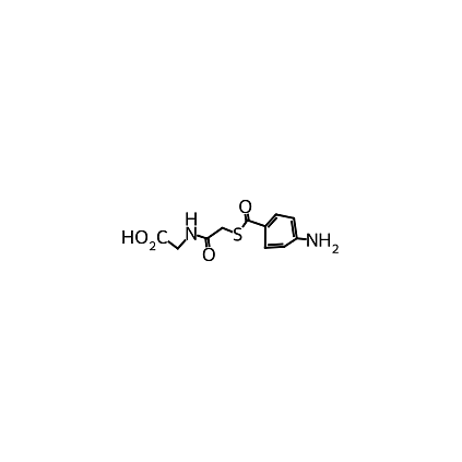 Nc1ccc(C(=O)SCC(=O)NCC(=O)O)cc1